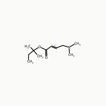 CCC(C)(C)OC(=O)/C=C/CN(C)C